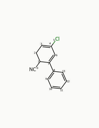 N#CC1CC=C(Cl)C=C1c1ccccc1